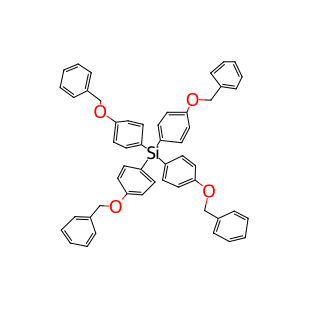 c1ccc(COc2ccc([Si](c3ccc(OCc4ccccc4)cc3)(c3ccc(OCc4ccccc4)cc3)c3ccc(OCc4ccccc4)cc3)cc2)cc1